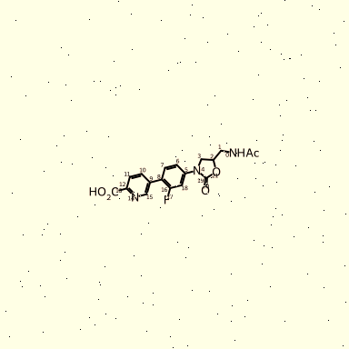 CC(=O)NCC1CN(c2ccc(-c3ccc(C(=O)O)nc3)c(F)c2)C(=O)O1